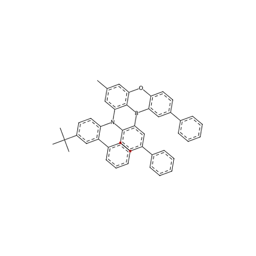 Cc1cc2c3c(c1)N(c1ccc(C(C)(C)C)cc1-c1ccccc1)c1ccc(-c4ccccc4)cc1B3c1cc(-c3ccccc3)ccc1O2